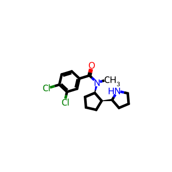 CN(C(=O)c1ccc(Cl)c(Cl)c1)[C@@H]1CCC[C@@H]1C1CCCN1